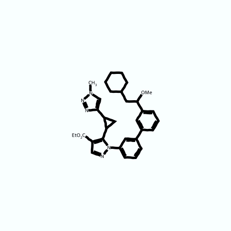 CCOC(=O)c1cnn(-c2cccc(-c3cccc(C(CC4CCCCC4)OC)c3)c2)c1C1CC1c1cn(C)nn1